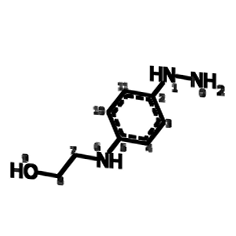 NNc1ccc(NCCO)cc1